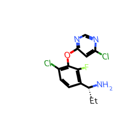 CC[C@@H](N)c1ccc(Cl)c(Oc2cc(Cl)ncn2)c1F